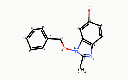 Cc1nc2ccc(Br)cc2n1OCc1ccccc1